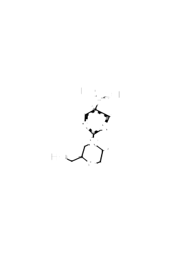 OCC1CN(c2ncc(B(O)O)cn2)CCO1